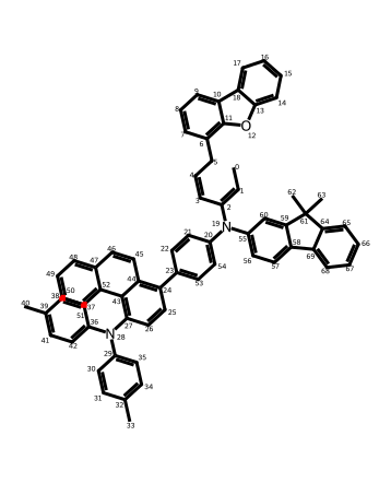 C/C=C(\C=C/Cc1cccc2c1oc1ccccc12)N(c1ccc(-c2ccc(N(c3ccc(C)cc3)c3ccc(C)cc3)c3c2ccc2ccccc23)cc1)c1ccc2c(c1)C(C)(C)c1ccccc1-2